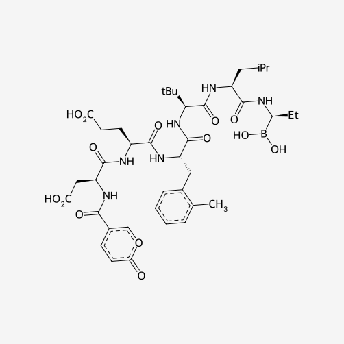 CC[C@H](NC(=O)[C@H](CC(C)C)NC(=O)[C@@H](NC(=O)[C@H](Cc1ccccc1C)NC(=O)[C@H](CCC(=O)O)NC(=O)[C@H](CC(=O)O)NC(=O)c1ccc(=O)oc1)C(C)(C)C)B(O)O